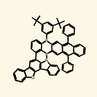 CC(C)(C)c1cc(N2c3cc4c(-c5ccccc5)c5ccccc5c(-c5ccccc5)c4cc3B3c4c(cccc42)-c2cc4c5ccccc5oc4c4c5ccccc5n3c24)cc(C(C)(C)C)c1